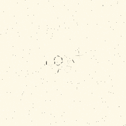 CC(=O)Nc1ccc(F)c([C@]2(NC(=O)OC(C)(C)C)COC[C@H]2C=O)c1